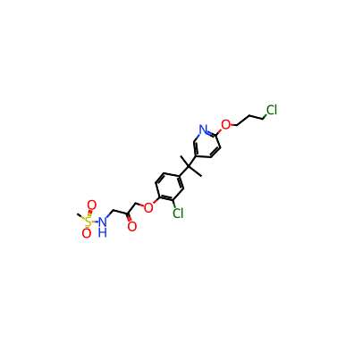 CC(C)(c1ccc(OCCCCl)nc1)c1ccc(OCC(=O)CNS(C)(=O)=O)c(Cl)c1